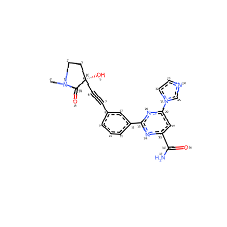 CN1CC[C@@](O)(C#Cc2cccc(-c3nc(C(N)=O)cc(-n4ccnc4)n3)c2)C1=O